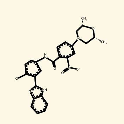 C[C@@H]1CN(c2ccc(C(=O)Nc3ccc(Cl)c(-c4nc5ccccc5[nH]4)c3)c([N+](=O)[O-])c2)C[C@H](C)O1